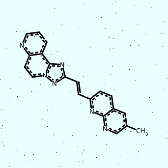 Cc1cnc2nc(C=Cc3nc4c5cccnc5ccn4n3)ccc2c1